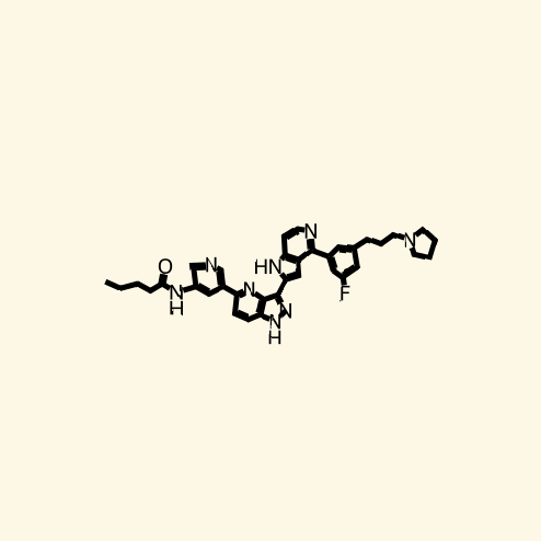 CCCCC(=O)Nc1cncc(-c2ccc3[nH]nc(-c4cc5c(-c6cc(F)cc(CCCN7CCCC7)c6)nccc5[nH]4)c3n2)c1